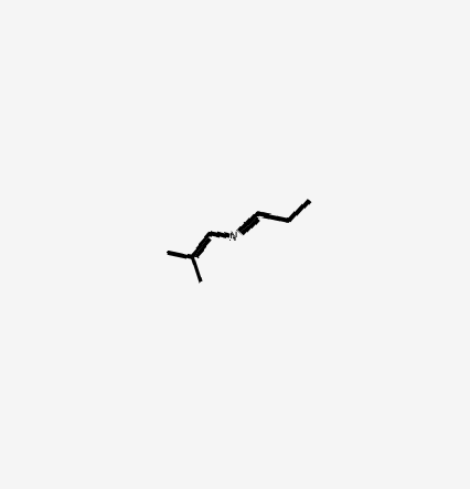 CCC=NC=C(C)C